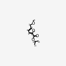 COCc1ccc(C(=O)OC(C)C)o1